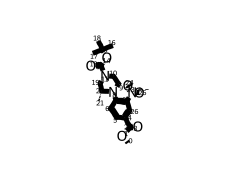 COC(=O)c1ccc(N2CCN(C(=O)OC(C)(C)C)C[C@H]2C)c([N+](=O)[O-])c1